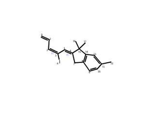 C=C/C=C(I)\C=C1/Cc2ccc(C)cc2C1(C)C